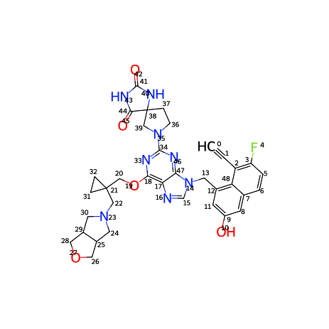 C#Cc1c(F)ccc2cc(O)cc(Cn3cnc4c(OCC5(CN6CC7COCC7C6)CC5)nc(N5CCC6(C5)NC(=O)NC6=O)nc43)c12